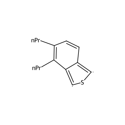 CCCc1ccc2[c]s[c]c2c1CCC